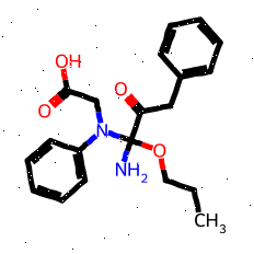 CCCOC(N)(C(=O)Cc1ccccc1)N(CC(=O)O)c1ccccc1